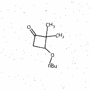 CCCCOC1CC(=O)C1(C)C